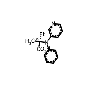 CC[C@@](C)(C(=O)O)N(c1ccccc1)c1cccnc1